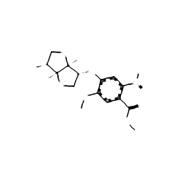 COC(=O)c1cc(OC)c(O[C@H]2CO[C@H]3[C@@H]2OC[C@@H]3F)cc1[N+](=O)[O-]